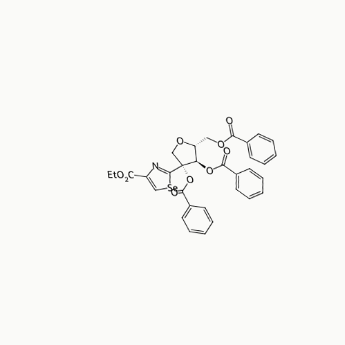 CCOC(=O)c1c[se]c([C@@]2(OC(=O)c3ccccc3)CO[C@H](COC(=O)c3ccccc3)[C@H]2OC(=O)c2ccccc2)n1